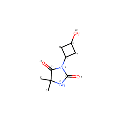 CC1(C)NC(=O)N(C2CC(O)C2)C1=O